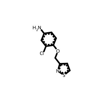 Nc1ccc(OCc2ccsn2)c(Cl)c1